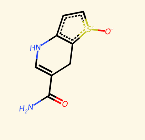 NC(=O)C1=CNc2cc[s+]([O-])c2C1